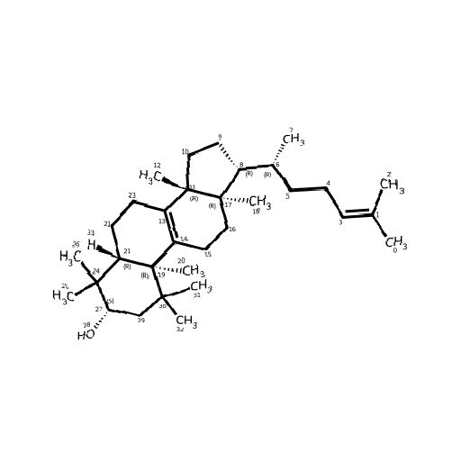 CC(C)=CCC[C@@H](C)[C@H]1CC[C@@]2(C)C3=C(CC[C@]12C)[C@]1(C)[C@@H](CC3)C(C)(C)[C@@H](O)CC1(C)C